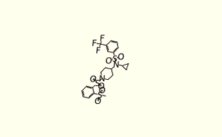 CS(=O)(=O)c1ccccc1S(=O)(=O)N1CCC(N(C2CC2)S(=O)(=O)c2cccc(C(F)(F)F)c2)CC1